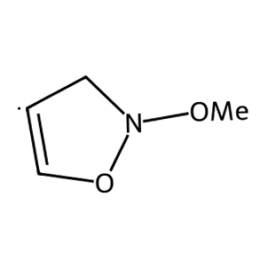 CON1C[C]=CO1